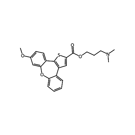 COc1ccc2c(c1)Oc1ccccc1-c1cc(C(=O)OCCCN(C)C)sc1-2